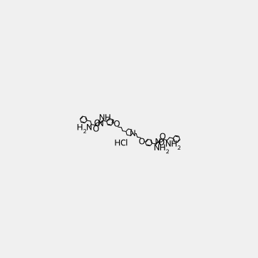 Cl.NC(=NOC(=O)[C@@H](N)Cc1ccccc1)c1ccc(OCCCC2CCN(CCCOc3ccc(C(N)=NOC(=O)[C@@H](N)Cc4ccccc4)cc3)CC2)cc1